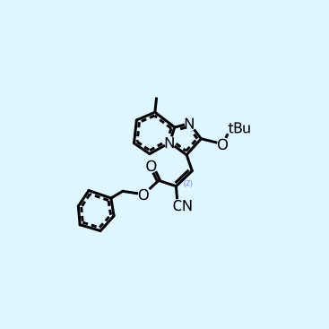 Cc1cccn2c(/C=C(/C#N)C(=O)OCc3ccccc3)c(OC(C)(C)C)nc12